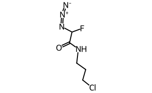 [N-]=[N+]=NC(F)C(=O)NCCCCl